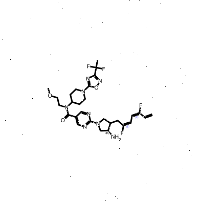 C=C/C(F)=C\C=C(\F)CC1CN(c2ncc(C(=O)N(CCOC)C3CCN(c4nc(C(C)(F)F)no4)CC3)cn2)C[C@@H]1N